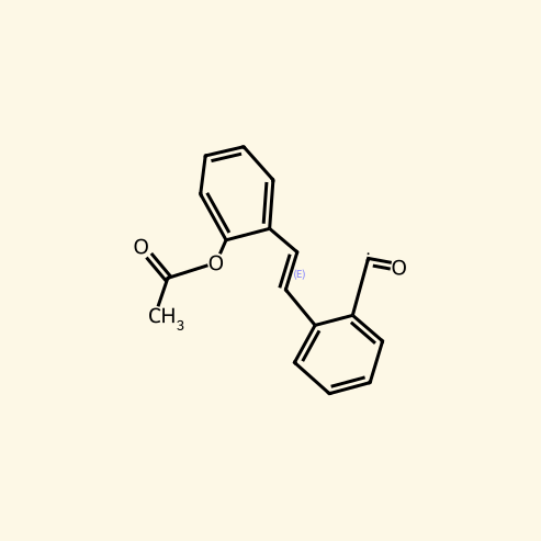 CC(=O)Oc1ccccc1/C=C/c1ccccc1[C]=O